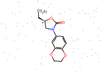 CCOC(=O)C[C@@H]1CN(c2ccc3c(c2)OCCO3)C(=O)O1